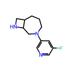 Fc1cncc(N2CCCC3CNC3C2)c1